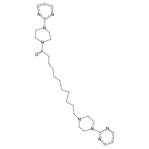 O=C(CCCCCCCCCCN1CCN(c2ncccn2)CC1)N1CCN(c2ncccn2)CC1